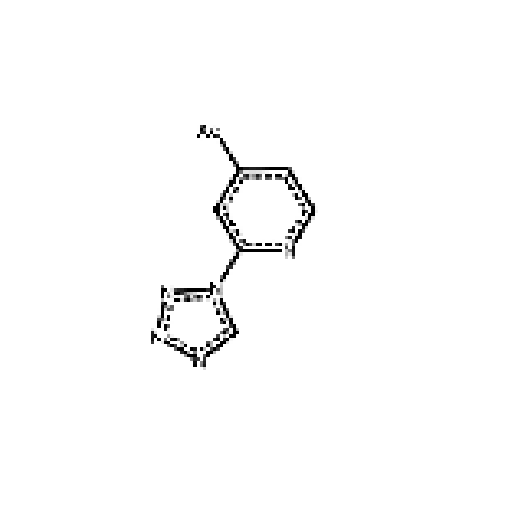 CC(=O)c1ccnc(-n2cnnn2)c1